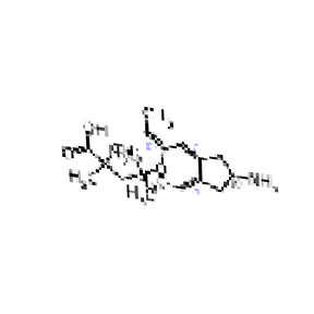 C/C=C1/C[C@H](N)C/C1=C/C(=C\C)OC(C)(C)CC(C)(C)C(=O)O